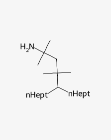 CCCCCCCC(CCCCCCC)C(C)(C)CC(C)(C)N